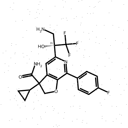 NC[C@](O)(c1cc2c(c(-c3ccc(F)cc3)n1)OCC2(C(N)=O)C1CC1)C(F)(F)F